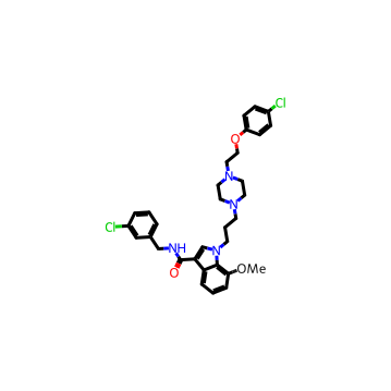 COc1cccc2c(C(=O)NCc3cccc(Cl)c3)cn(CCCN3CCN(CCOc4ccc(Cl)cc4)CC3)c12